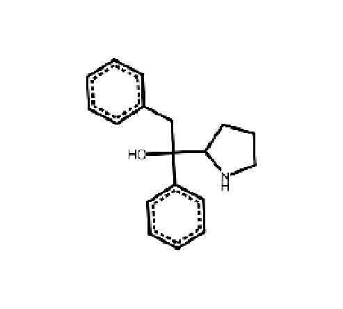 OC(Cc1ccccc1)(c1ccccc1)C1CCCN1